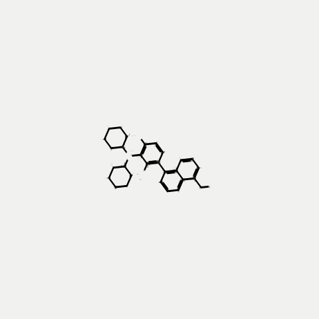 COc1ccc(-c2cccc3c(CO)cccc23)c(OC)c1P(C1CCCCC1)C1CCCCC1